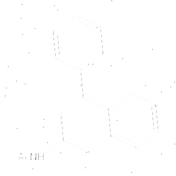 CC(=O)NC1Cc2ccccc2C(c2ccccc2)C1